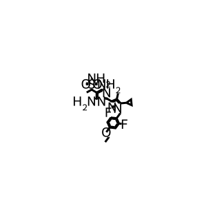 CCOc1cc(F)c(Cn2nc(-c3nc(N)c(C(C)S(N)(=O)=O)c(N)n3)c(C)c2C2CC2)c(F)c1